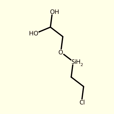 OC(O)CO[SiH2]CCCl